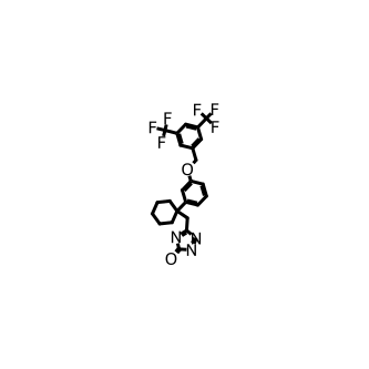 O=C1N=NC(CC2(c3cccc(OCc4cc(C(F)(F)F)cc(C(F)(F)F)c4)c3)CCCCC2)=N1